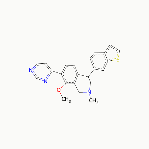 COc1c(-c2ccncn2)ccc2c1CN(C)CC2c1ccc2ccsc2c1